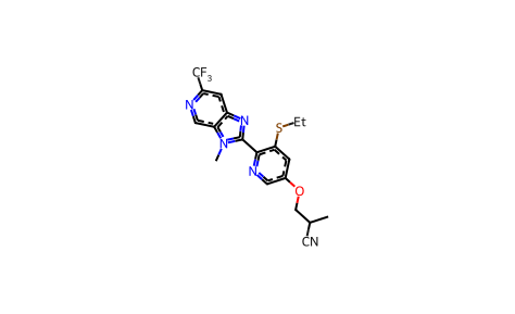 CCSc1cc(OCC(C)C#N)cnc1-c1nc2cc(C(F)(F)F)ncc2n1C